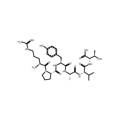 CC(C)[C@H](NC(=O)[C@H](C)NC(=O)[C@H](Cc1ccc(O)cc1)NC(=O)[C@@H]1CCCN1C(=O)[C@@H](N)CCCNC(=N)N)C(=O)N[C@H](C(=O)O)[C@@H](C)O